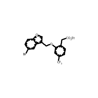 CCOC(=O)Cc1ccc(C(F)(F)F)cc1OCc1coc2ccc(Br)cc12